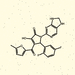 Cc1ccc(C(=O)C2=C(O)C(=O)N(c3ncc4c(n3)NCN4)C2c2cc(F)ccc2F)o1